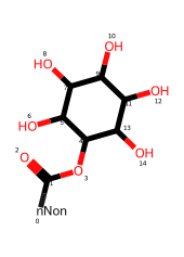 CCCCCCCCCC(=O)OC1C(O)C(O)C(O)C(O)C1O